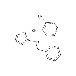 Nc1ccccc1Cl.c1ccc(CNn2cccn2)cc1